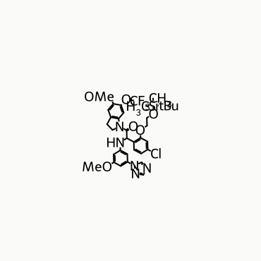 COc1cc(NC(C(=O)N2CCc3cc(OC)c(OC(F)(F)F)cc32)c2ccc(Cl)cc2OCCO[Si](C)(C)C(C)(C)C)cc(-n2cncn2)c1